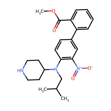 COC(=O)c1ccccc1-c1ccc(N(CC(C)C)C2CCNCC2)c([N+](=O)[O-])c1